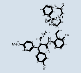 COc1ccc([C@H](c2ccc(Cl)cc2)[C@H](N=[N+]=[N-])C(=O)Nc2cccc(F)c2CC[C@@H](CNC[C@H](C)O)NS(=O)(=O)c2ccccc2)cn1